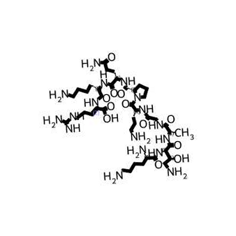 C[C@H](NC(=O)[C@@H](NC(=O)[C@@H](N)CCCCN)[C@@H](O)CN)C(=O)NCC(=O)N[C@H](CCCN)C(=O)N1CCC[C@H]1C(=O)N[C@@H](CCC(N)=O)C(=O)N[C@@H](CCCCN)C(=O)N/C(=C\CCNC(=N)N)C(=O)O